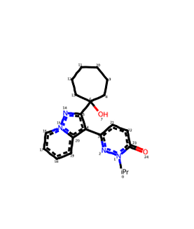 CC(C)n1nc(-c2c(C3(O)CCCCCC3)nn3ccccc23)ccc1=O